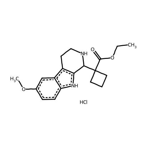 CCOC(=O)C1(C2NCCc3c2[nH]c2ccc(OC)cc32)CCC1.Cl